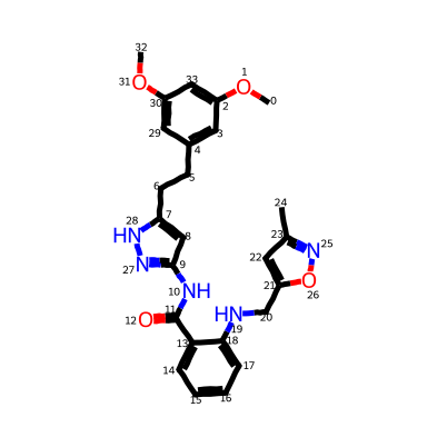 COc1cc(CCc2cc(NC(=O)c3ccccc3NCc3cc(C)no3)n[nH]2)cc(OC)c1